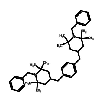 CC1(C)CC(Cc2ccc(CC3CC(C)(C)N(Cc4ccccc4)C(C)(C)C3)cc2)CC(C)(C)N1Cc1ccccc1